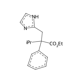 CCOC(=O)C(Cc1ncc[nH]1)(c1ccccc1)C(C)C